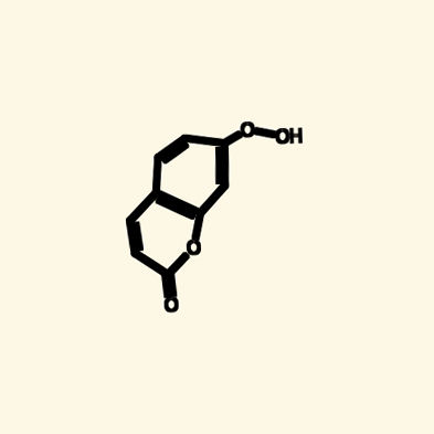 O=c1ccc2ccc(OO)cc2o1